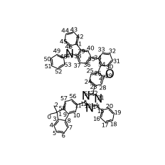 CC1(C)c2ccccc2-c2cc(-c3nc(-c4ccccc4)nc(-c4ccc5c(c4)oc4cccc(-c6ccc7c(c6)c6ccccc6n7-c6ccccc6)c45)n3)ccc21